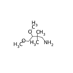 COCC(OC)C(C)(C)CN